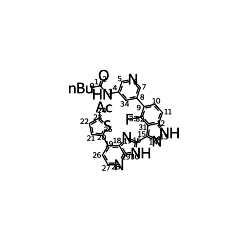 CCCCC(=O)Nc1cncc(-c2ccc3[nH]nc(-c4nc5c(-c6ccc(C(C)=O)s6)ccnc5[nH]4)c3c2F)c1